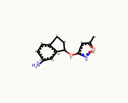 Cc1cc(OC2CCc3ccc(N)cc32)no1